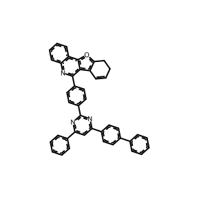 C1=Cc2c(oc3c2c(-c2ccc(-c4nc(-c5ccccc5)cc(-c5ccc(-c6ccccc6)cc5)n4)cc2)nc2ccccc23)CC1